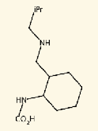 CC(C)CNCC1CCCCC1NC(=O)O